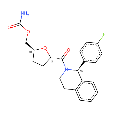 NC(=O)OC[C@@H]1CC[C@@H](C(=O)N2CCc3ccccc3[C@@H]2c2ccc(F)cc2)O1